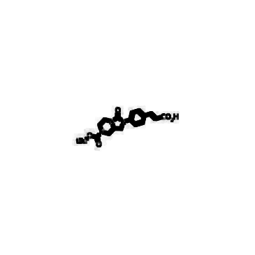 CC(C)(C)OC(=O)N1CCN2C(=O)N(c3ccc(/C=C/C(=O)O)cc3)CC2C1